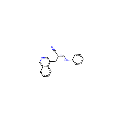 N#C/C(=C/Nc1ccccc1)Cc1cncc2ccccc12